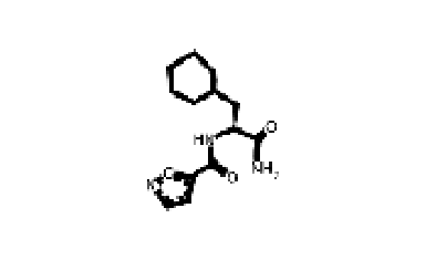 NC(=O)[C@H](CC1CCCCC1)NC(=O)c1ccno1